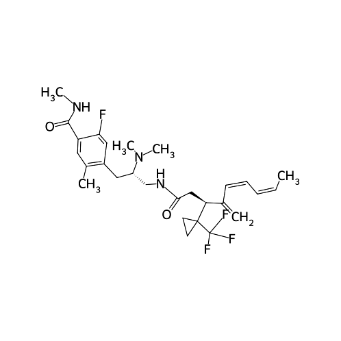 C=C(/C=C\C=C/C)[C@H](CC(=O)NC[C@H](Cc1cc(F)c(C(=O)NC)cc1C)N(C)C)C1(C(F)(F)F)CC1